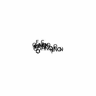 COc1cc(C(=O)NC2CCN(C)CC2)c(F)cc1Nc1ncc(C(F)(F)F)c(N[C@@H]2Cc3ccccc3[C@@H]2N(C)S(C)(=O)=O)n1